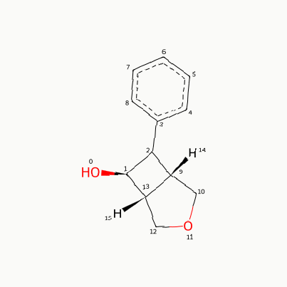 O[C@H]1C(c2ccccc2)[C@@H]2COC[C@H]12